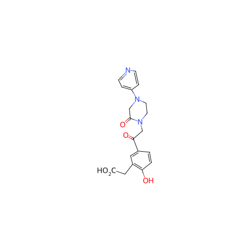 O=C(O)Cc1cc(C(=O)CN2CCN(c3ccncc3)CC2=O)ccc1O